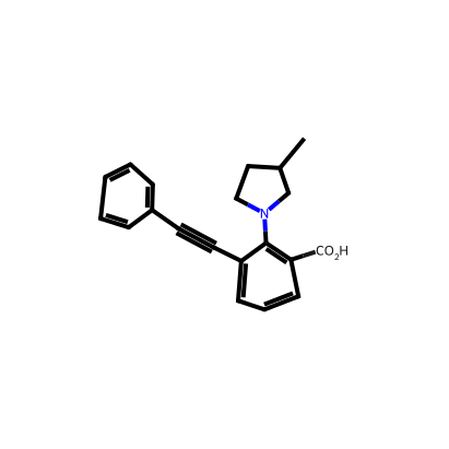 CC1CCN(c2c(C#Cc3ccccc3)cccc2C(=O)O)C1